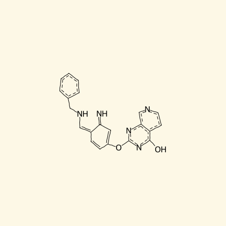 N=C1C=C(Oc2nc(O)c3ccncc3n2)C=C/C1=C/NCc1ccccc1